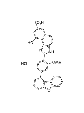 COc1cc(-c2cccc3oc4ccccc4c23)ccc1-c1nc2c(ccc3cc(S(=O)(=O)O)cc(O)c32)[nH]1.Cl